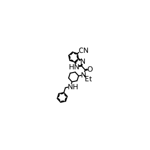 CCN(C(=O)c1nc2c(C#N)cccc2[nH]1)C1CCCC(NCc2ccccc2)C1